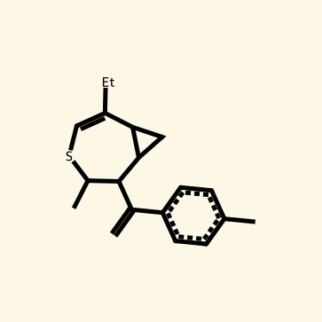 C=C(c1ccc(C)cc1)C1C(C)SC=C(CC)C2CC21